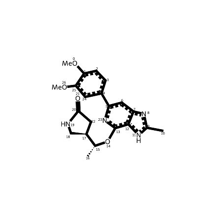 COc1ccc(-c2cc3nc(C)[nH]c3c(O[C@H](C)[C@H]3CNC(=O)C3)n2)cc1OC